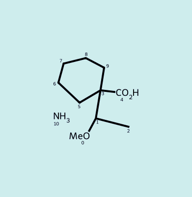 COC(C)C1(C(=O)O)CCCCC1.N